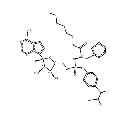 CCCCCCOC(=O)[C@H](Cc1ccccc1)NP(=O)(OC[C@H]1O[C@@](C)(c2ccc3c(N)ncnn23)[C@H](O)[C@@H]1O)Oc1ccc(C(C)C(C)C)cc1